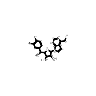 OC(c1ccc(F)c(F)c1)C1OC(n2ccc3c(CF)ncnc32)C(O)C1O